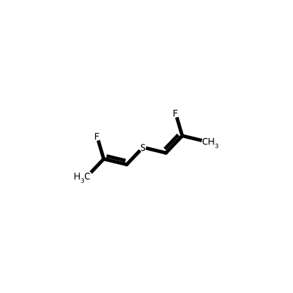 CC(F)=CSC=C(C)F